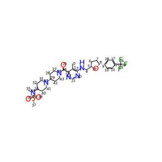 Cc1c(NCC2CC[C@H](c3ccc(C(F)(F)F)cc3)O2)ncnc1C(=O)N1CCC(N2CCC(N(C)S(C)(=O)=O)CC2)CC1